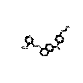 CN(c1ccc(OCC(F)(F)F)cc1)c1ccc2c(c1)CCC[C@H]2CNc1cnccc1C(=O)O